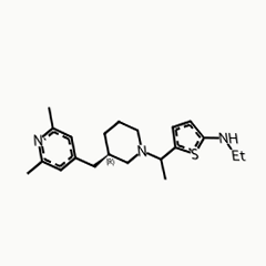 CCNc1ccc(C(C)N2CCC[C@H](Cc3cc(C)nc(C)c3)C2)s1